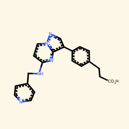 O=C(O)CCc1ccc(-c2cnn3ccc(NCc4ccncc4)nc23)cc1